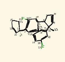 C[C@]1(c2ccc(C3CC=C[C@]3(C)c3cccc(F)c3)cc2F)C=CCC1